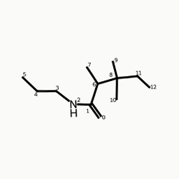 C=C(NCCC)C(C)C(C)(C)CC